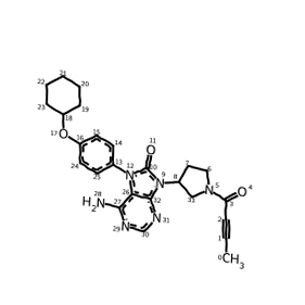 CC#CC(=O)N1CCC(n2c(=O)n(-c3ccc(OC4CCCCC4)cc3)c3c(N)ncnc32)C1